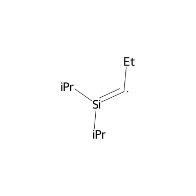 CC[C]=[Si](C(C)C)C(C)C